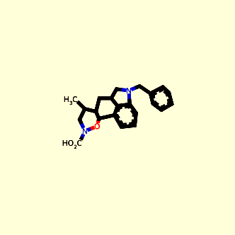 CC1CN(C(=O)O)OC2c3cccc4c3C(CC12)CN4Cc1ccccc1